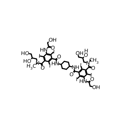 CN(CC(O)CO)C(=O)c1c(I)c(NC(=O)CO)c(I)c(C(=O)NC2CCC(NC(=O)c3c(I)c(NC(=O)CO)c(I)c(C(=O)N(C)CC(O)CO)c3I)CC2)c1I